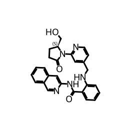 O=C(Nc1cc2ccccc2cn1)c1ccccc1NCc1ccnc(N2C(=O)CC[C@H]2CO)c1